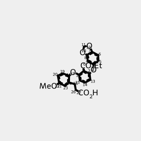 CCOC(=O)c1c(Oc2ccc3c(c2)OCO3)cccc1Oc1ccc(OC)cc1CCC(=O)O